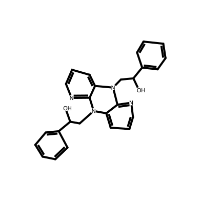 OC(CN1c2cccnc2N(CC(O)c2ccccc2)c2cccnc21)c1ccccc1